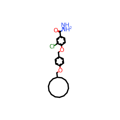 NNC(=O)c1ccc(OCc2ccc(OCC3CCCCCCCCCCCCC3)cc2)c(Cl)c1